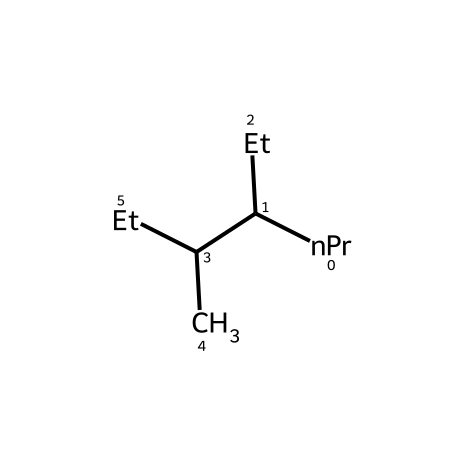 CCCC(CC)C(C)CC